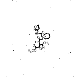 COC(=O)c1onc(C)c1NC(=O)C[N+]1(CC(=O)Nc2ccon2)CCCCCC1